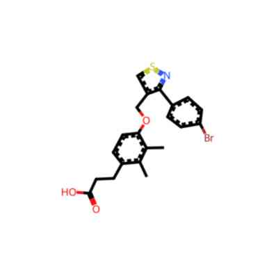 Cc1c(CCC(=O)O)ccc(OCc2csnc2-c2ccc(Br)cc2)c1C